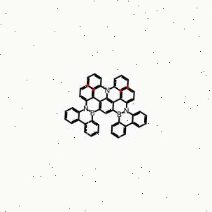 c1ccc(N(c2ccccc2)c2c3c(cc4c2-c2ccccc2N2B4c4ccccc4-c4ccccc42)B2c4ccccc4-c4ccccc4N2c2ccccc2-3)cc1